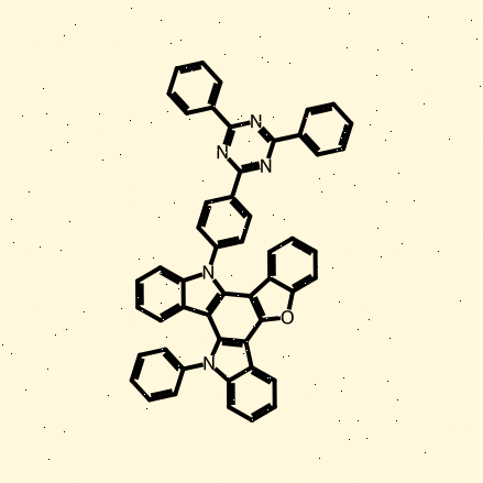 c1ccc(-c2nc(-c3ccccc3)nc(-c3ccc(-n4c5ccccc5c5c6c(c7ccccc7n6-c6ccccc6)c6oc7ccccc7c6c54)cc3)n2)cc1